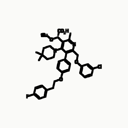 Cc1nc(COc2cccc(Cl)c2)c(-c2ccc(OCCc3ccc(F)cc3)cc2)c(N2CCC(C)(C)CC2)c1[C@H](OC(C)(C)C)C(=O)O